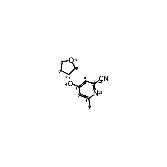 Cc1cc(O[C@@H]2CCOC2)cc(C#N)n1